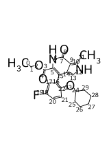 CCOC(=O)c1[nH]c(=O)c2c(C)[nH]cc2c1-c1cc(F)ccc1OC1CCCCC1